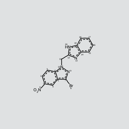 O=[N+]([O-])c1ccc2c(c1)c(Br)nn2Cc1nc2ccccc2[nH]1